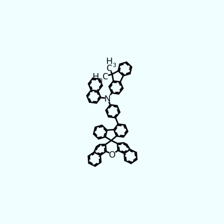 CC1(C)c2ccccc2-c2ccc(N(c3ccc(-c4cccc5c4-c4ccccc4C54c5ccc6ccccc6c5Oc5c4ccc4ccccc54)cc3)c3cccc4ccccc34)cc21